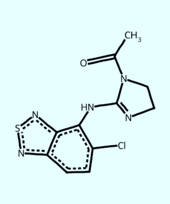 CC(=O)N1CCN=C1Nc1c(Cl)ccc2nsnc12